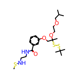 CSNCCNC(=O)c1cccc(OCC(C)(OCCOCC(C)C)SSC(C)(C)C)c1